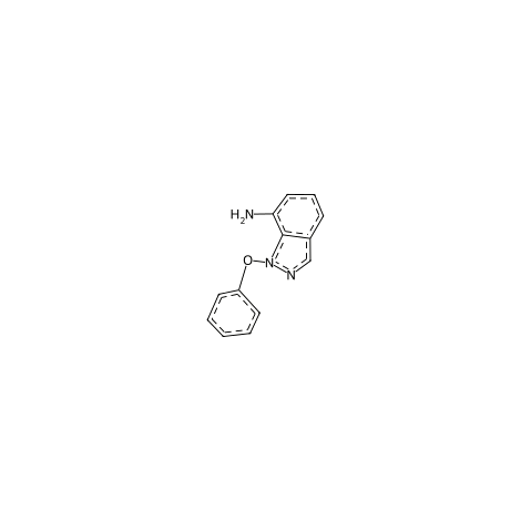 Nc1cccc2cnn(Oc3ccccc3)c12